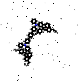 C=Cc1ccc(CC2(C3=CC=C(C)CC3)c3ccccc3-c3ccc(N(c4ccccc4)c4ccc(-c5ccc(-c6ccc(N(c7ccccc7)c7ccc8c(c7)C(Cc7ccc(C=C)cc7)(c7ccc(C)cc7)c7ccccc7-8)cc6)cc5)cc4)cc32)cc1